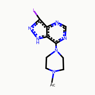 CC(=O)N1CCN(c2ncnc3c(I)n[nH]c23)CC1